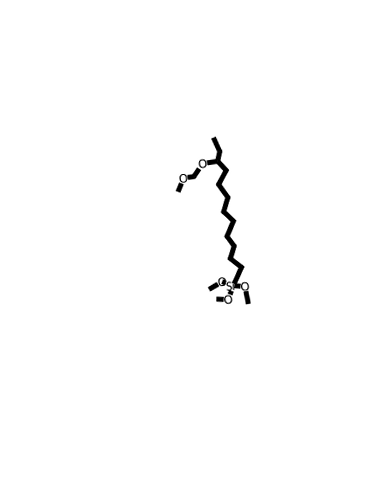 CCC(CCCCCCCCC[Si](OC)(OC)OC)OCOC